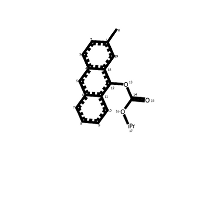 Cc1ccc2cc3ccccc3c(OC(=O)OC(C)C)c2c1